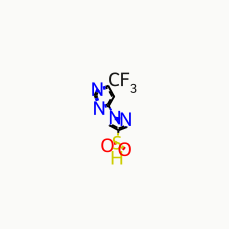 O=[SH](=O)c1cnn(-c2cc(C(F)(F)F)ncn2)c1